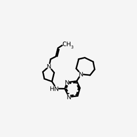 C/C=C/CN1CCC(Nc2nccc(N3CCCCCC3)n2)C1